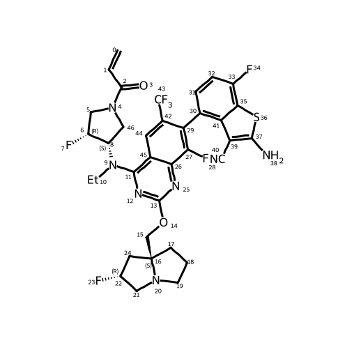 C=CC(=O)N1C[C@@H](F)[C@@H](N(CC)c2nc(OC[C@@]34CCCN3C[C@H](F)C4)nc3c(F)c(-c4ccc(F)c5sc(N)c(C#N)c45)c(C(F)(F)F)cc23)C1